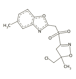 Cc1ccc2oc(CS(=O)(=O)C3=NOC(C)(CCl)C3)nc2c1